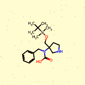 CC(C)(C)[Si](C)(C)OCC1(N(Cc2ccccc2)C(=O)O)CCNC1